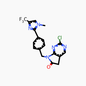 Cn1cc(C(F)(F)F)nc1-c1ccc(CN2C(=O)Cc3cnc(Cl)nc32)cc1